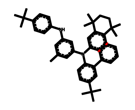 Cc1cc(Nc2ccc(C(C)(C)C)cc2)cc(N(c2ccc3c(c2)C(C)(C)CCC3(C)C)c2ccc(C(C)(C)C)cc2-c2ccccc2)c1